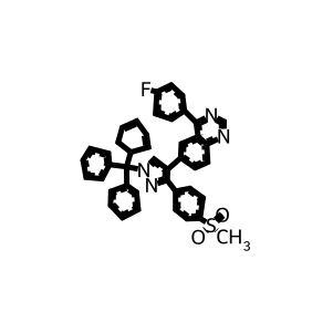 CS(=O)(=O)c1ccc(-c2nn(C(c3ccccc3)(c3ccccc3)C3C=CC=CC3)cc2-c2ccc3ncnc(-c4ccc(F)cc4)c3c2)cc1